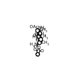 CC(=O)O[C@H]1CC[C@]2(C)[C@H]3C(=O)C=C4[C@@H]5C[C@@](N)(C(=O)ON6C(=O)c7ccccc7C6=O)CC[C@]5(C)CC[C@@]4(C)[C@]3(C)CC[C@H]2[C@]1(C)N